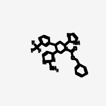 Nc1nccc(C2CN(C(=O)OCc3ccccc3)C(c3ncc[nH]3)CC2c2cccc(C(F)(F)F)c2)n1